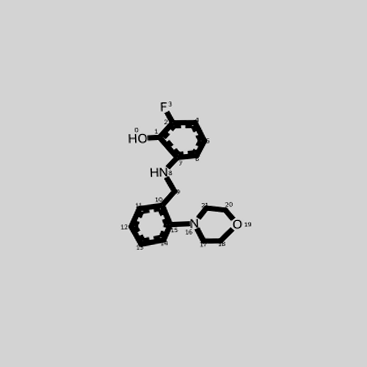 Oc1c(F)cccc1NCc1ccccc1N1CCOCC1